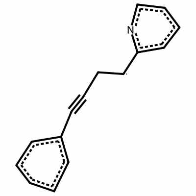 C(#Cc1ccccc1)C[CH]c1ccccn1